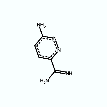 N=C(N)c1ccc(N)nn1